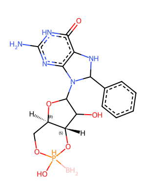 B[PH]1(O)OC[C@H]2OC(N3c4nc(N)[nH]c(=O)c4NC3c3ccccc3)C(O)[C@@H]2O1